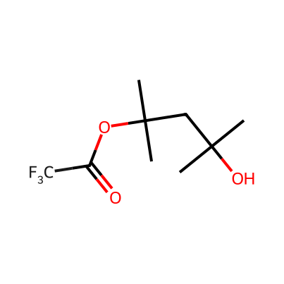 CC(C)(O)CC(C)(C)OC(=O)C(F)(F)F